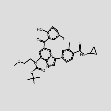 COCCN(C(=O)OC(C)(C)C)c1cc(C(=O)c2cc(F)ccc2O)cn2c(-c3ccc(C(=O)NC4CC4)c(C)c3)cnc12